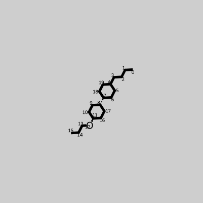 CCCCC1CCC([C@H]2CC[C@H](OCCC)CC2)CC1